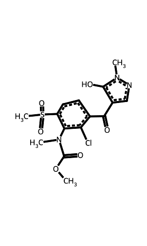 COC(=O)N(C)c1c(S(C)(=O)=O)ccc(C(=O)c2cnn(C)c2O)c1Cl